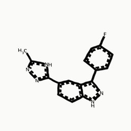 Cc1nnc(-c2ccc3[nH]nc(-c4ccc(F)cc4)c3c2)[nH]1